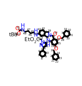 CCOC(=O)Cn1nc(-c2ccccc2)cc1Nc1cc(OCc2ccccc2)cc(OCc2ccccc2)c1C(=O)N1Cc2ccc(NCCCCNC(=O)OC(C)(C)C)cc2C1